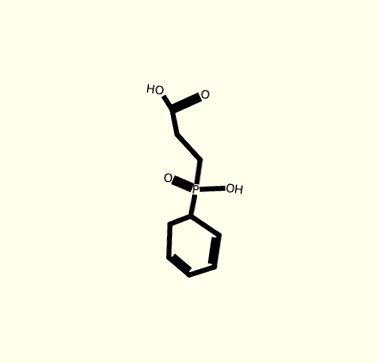 O=C(O)CCP(=O)(O)C1C=CC=CC1